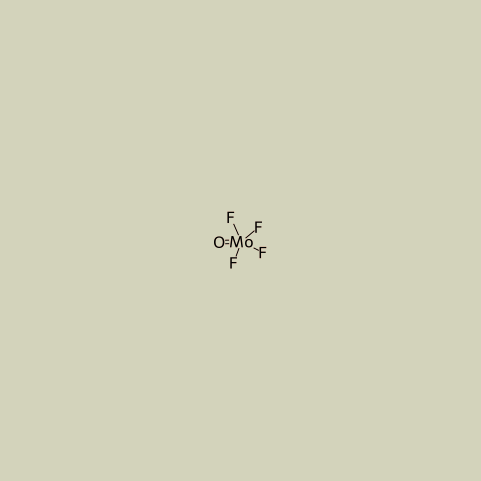 [O]=[Mo]([F])([F])([F])[F]